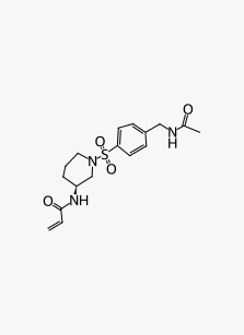 C=CC(=O)N[C@H]1CCCN(S(=O)(=O)c2ccc(CNC(C)=O)cc2)C1